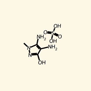 Cn1nc(O)c(N)c1N.O=S(=O)(O)O